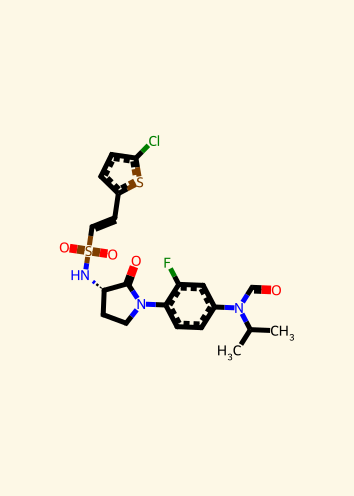 CC(C)N(C=O)c1ccc(N2CC[C@H](NS(=O)(=O)C=Cc3ccc(Cl)s3)C2=O)c(F)c1